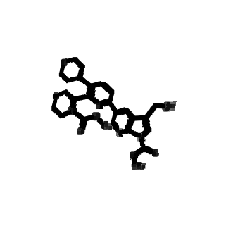 CC(C)(C)OC(=O)N1CCOCC1c1nc(-c2cnc3c(c2)c(CO)cn3C(=O)OC(C)(C)C)ccc1C1CCOCC1